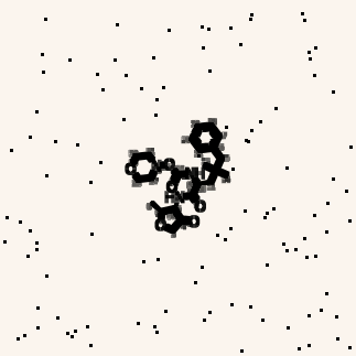 C[C@@H]1OCC(=O)[C@H]1NC(=O)[C@H](CC(C)(C)Cc1ccccc1)NC(=O)ON1CCOCC1